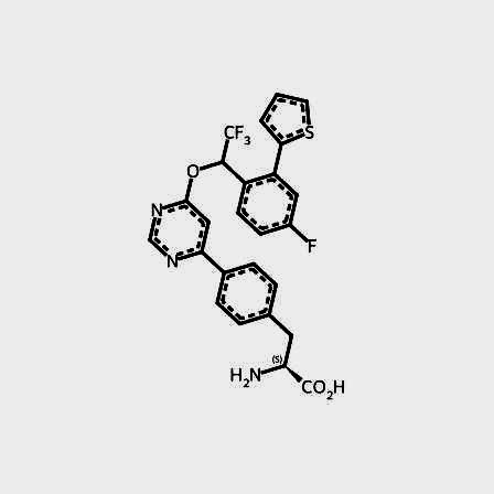 N[C@@H](Cc1ccc(-c2cc(OC(c3ccc(F)cc3-c3cccs3)C(F)(F)F)ncn2)cc1)C(=O)O